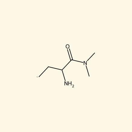 [CH2]CC(N)C(=O)N(C)C